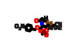 CC(=O)NC1(SCC#N)S[C@@H]2CC(=O)N2C(C(=O)OCc2ccc([N+](=O)[O-])cc2)=C1OS(C)(=O)=O